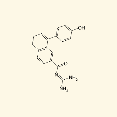 NC(N)=NC(=O)c1ccc2c(c1)C(c1ccc(O)cc1)=CCC2